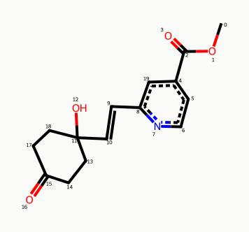 COC(=O)c1ccnc(/C=C/C2(O)CCC(=O)CC2)c1